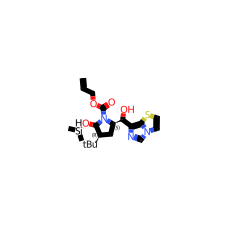 C=CCOC(=O)N1C(O[SiH](C)C)[C@@H](C(C)(C)C)C[C@H]1C(O)c1ncn2ccsc12